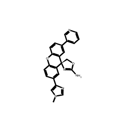 Cn1cnc(-c2ccc3c(c2)[C@]2(COC(N)=N2)c2cc(-c4cccnc4)ccc2O3)c1